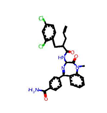 C=CCC(Cc1ccc(Cl)cc1Cl)C(=O)NC1N=C(c2ccc(C(N)=O)cc2)c2ccccc2N(C)C1=O